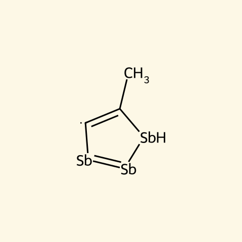 C[C]1=[C][Sb]=[Sb][SbH]1